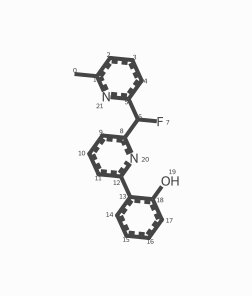 Cc1cccc(C(F)c2cccc(-c3ccccc3O)n2)n1